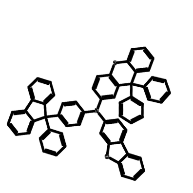 c1ccc(C2(c3ccccc3)c3ccccc3Sc3ccc(N(c4ccc(C5(c6ccccc6)c6ccccc6-c6ccccc65)cc4)c4ccc5c(c4)oc4ccccc45)cc32)cc1